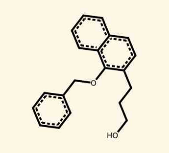 OCCCc1ccc2ccccc2c1OCc1ccccc1